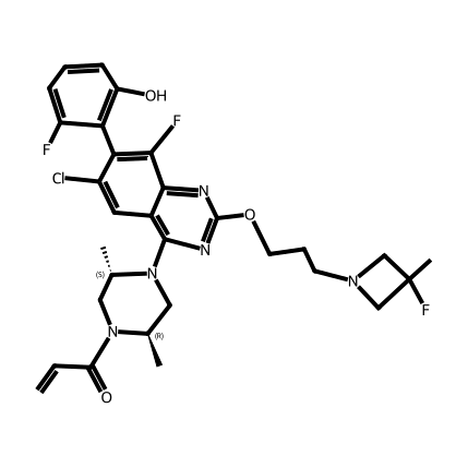 C=CC(=O)N1C[C@H](C)N(c2nc(OCCCN3CC(C)(F)C3)nc3c(F)c(-c4c(O)cccc4F)c(Cl)cc23)C[C@H]1C